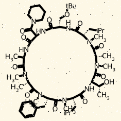 CC(C)C[C@H]1C(=O)N[C@@H](COC(C)(C)C)C(=O)NC(C(=O)N2CCCCC2)C(=O)NC(C)C(=O)N(C)[C@@H](C)C(=O)N(C)[C@@H](Cc2ccccc2)C(=O)N(C)[C@@H](CC(C)C)C(=O)N[C@@H]([C@@H](C)O)C(=O)N(C)[C@@H](C)C(=O)N1C